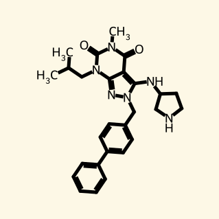 CC(C)Cn1c(=O)n(C)c(=O)c2c(NC3CCNC3)n(Cc3ccc(-c4ccccc4)cc3)nc21